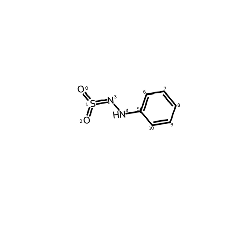 O=S(=O)=NNc1ccccc1